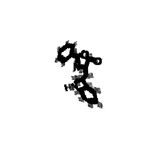 O=C1OC(c2ccccc2)=NC1Cc1c[nH]c2ccccc12